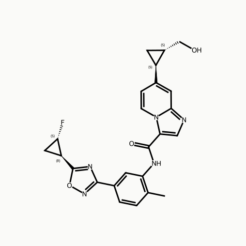 Cc1ccc(-c2noc([C@H]3C[C@@H]3F)n2)cc1NC(=O)c1cnc2cc([C@H]3C[C@@H]3CO)ccn12